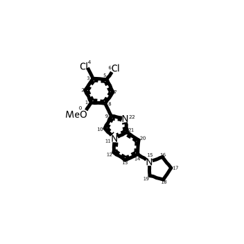 COc1cc(Cl)c(Cl)cc1-c1cn2ccc(N3CCCC3)cc2n1